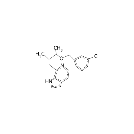 CC(Cc1nccc2cc[nH]c12)C(C)OCc1cccc(Cl)c1